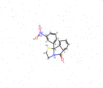 O=C1c2ccccc2C2(c3cccc([N+](=O)[O-])c3)SCCN12